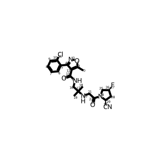 Cc1onc(-c2ccccc2Cl)c1C(=O)NCC(C)(C)NCC(=O)N1C[C@@H](F)C[C@H]1C#N